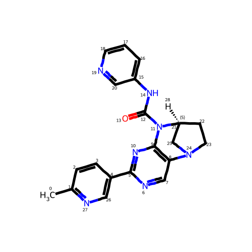 Cc1ccc(-c2ncc3c(n2)N(C(=O)Nc2cccnc2)[C@H]2CCN3C2)cn1